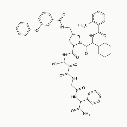 CCCC(NC(=O)C1CC(CNC(=O)c2cccc(Oc3ccccc3)c2)CN1C(=O)C(NC(=O)c1ccccc1C(=O)O)C1CCCCC1)C(=O)C(=O)NCC(=O)NC(C(N)=O)c1ccccc1